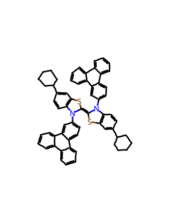 c1ccc2c(c1)c1ccccc1c1cc(N3/C(=C4\Sc5cc(C6CCCCC6)ccc5N4c4ccc5c6ccccc6c6ccccc6c5c4)Sc4cc(C5CCCCC5)ccc43)ccc21